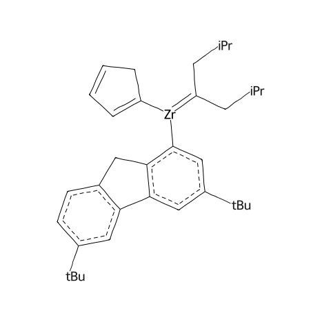 CC(C)C[C](CC(C)C)=[Zr]([C]1=CC=CC1)[c]1cc(C(C)(C)C)cc2c1Cc1ccc(C(C)(C)C)cc1-2